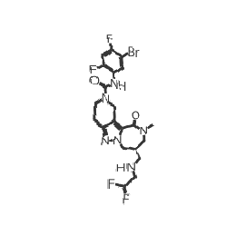 CN1C[C@@H](CNCC(F)F)Cn2nc3c(c2C1=O)CN(C(=O)Nc1cc(Br)c(F)cc1F)CC3